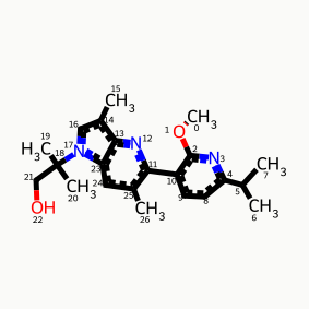 COc1nc(C(C)C)ccc1-c1nc2c(C)cn(C(C)(C)CO)c2cc1C